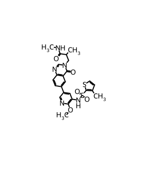 CNC(=O)C(C)Cn1cnc2ccc(-c3cnc(OC)c(NS(=O)(=O)c4sccc4C)c3)cc2c1=O